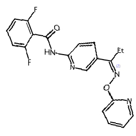 CC/C(=N/Oc1ccccn1)c1ccc(NC(=O)c2c(F)cccc2F)nc1